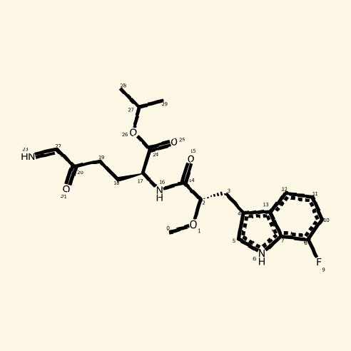 CO[C@@H](Cc1c[nH]c2c(F)cccc12)C(=O)N[C@@H](CCC(=O)C=N)C(=O)OC(C)C